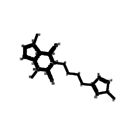 CC1N=NC(CCCCn2c(=O)c3c(ncn3C)n(C)c2=O)=N1